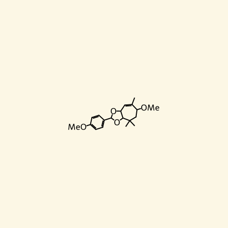 COc1ccc(C2OC3C=C(C)C(OC)CC(C)(C)C3O2)cc1